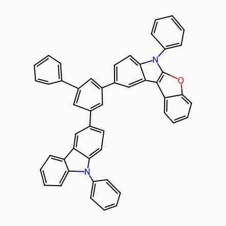 c1ccc(-c2cc(-c3ccc4c(c3)c3ccccc3n4-c3ccccc3)cc(-c3ccc4c(c3)c3c5ccccc5oc3n4-c3ccccc3)c2)cc1